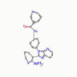 Nc1ncccc1-c1nc2cccnc2n1-c1ccc(CNC(=O)c2cccnc2)cc1